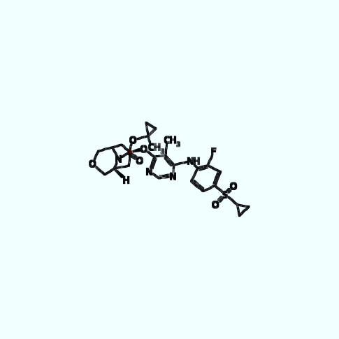 Cc1c(Nc2ccc(S(=O)(=O)C3CC3)cc2F)ncnc1O[C@@H]1CC2COC[C@@H](C1)N2C(=O)OC1(C)CC1